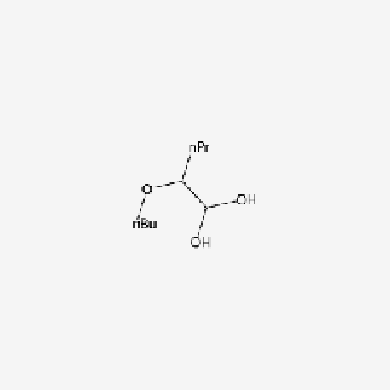 CCCCOC(CCC)C(O)O